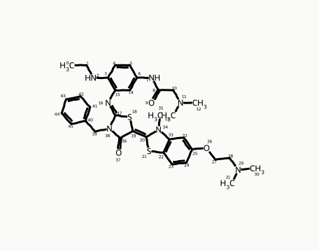 CCNc1ccc(NC(=O)CN(C)C)cc1N=C1SC(=C2Sc3ccc(OCCN(C)C)cc3N2C)C(=O)N1Cc1ccccc1